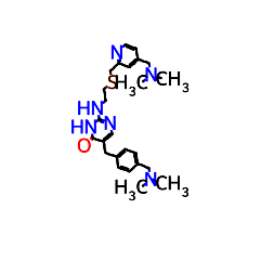 CN(C)Cc1ccc(Cc2cnc(NCCSCc3cc(CN(C)C)ccn3)[nH]c2=O)cc1